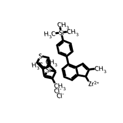 CC1=C2c3cscc3C1[Si]2(C)C.CC1=Cc2c(-c3ccc([Si](C)(C)C)cc3)cccc2[CH]1[Zr+2].[Cl-].[Cl-]